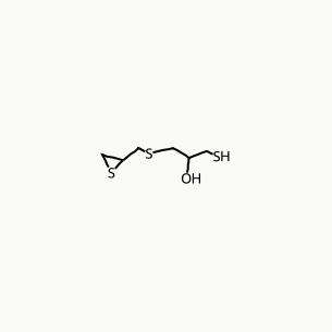 OC(CS)CSCC1CS1